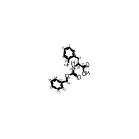 O=C(N[C@@H](Cc1ccccc1F)C(=O)O)OCc1ccccc1